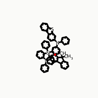 CC1(C)c2ccccc2-c2cc(N(c3ccccc3)c3ccccc3[Si](c3ccccc3)(c3ccccc3)c3cccc(N(c4ccccc4)c4ccc5c(c4)sc4ccccc45)c3)ccc21